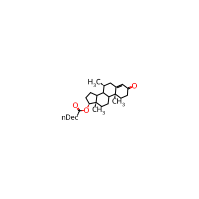 CCCCCCCCCCC(=O)O[C@H]1CCC2C3C(CC[C@@]21C)[C@@]1(C)CCC(=O)C=C1C[C@@H]3C